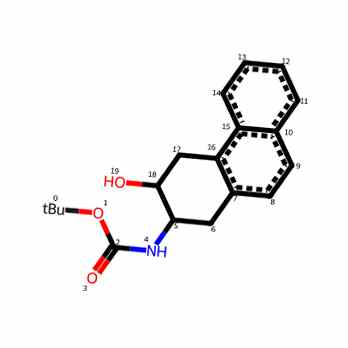 CC(C)(C)OC(=O)NC1Cc2ccc3ccccc3c2CC1O